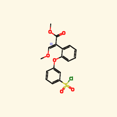 CO/C=C(/C(=O)OC)c1ccccc1Oc1cccc(S(=O)(=O)Cl)c1